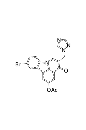 CC(=O)Oc1cc2c(=O)c(Cn3cncn3)cn3c4ccc(Br)cc4c(c1)c23